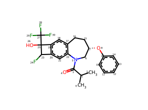 CC(C)C(=O)N1C[C@@H](Oc2ccccc2)CCc2cc3c(cc21)C(F)C3(O)C(F)(F)F